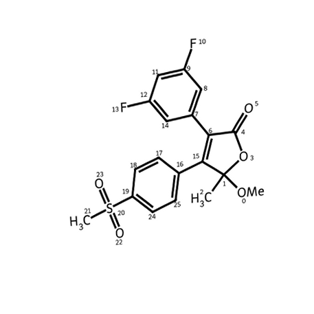 COC1(C)OC(=O)C(c2cc(F)cc(F)c2)=C1c1ccc(S(C)(=O)=O)cc1